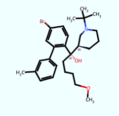 COCCCC[C@@](O)(c1ccc(Br)cc1-c1cccc(C)c1)[C@@H]1CCCN(C(C)(C)C)C1